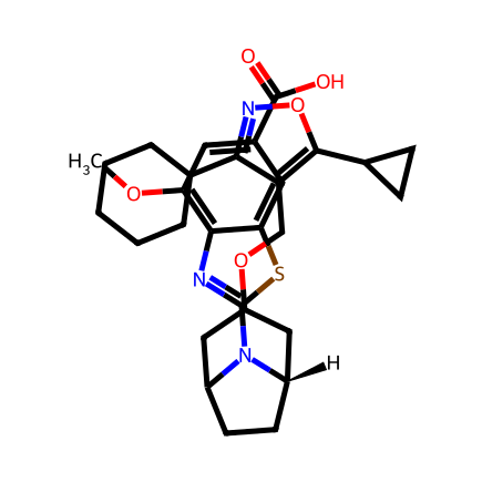 COc1cc(C(=O)O)cc2sc(N3C4CC[C@H]3CC(OCc3c(C5CCCCC5)noc3C3CC3)C4)nc12